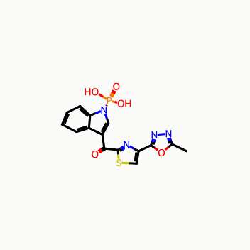 Cc1nnc(-c2csc(C(=O)c3cn(P(=O)(O)O)c4ccccc34)n2)o1